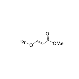 COC(=O)/C=C/OC(C)C